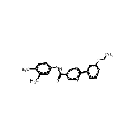 CCOc1cccc(-c2ccc(C(=O)Nc3ccc(C)c(C)c3)cn2)c1